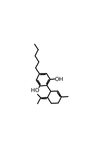 CCCCCc1cc(O)c(C2C=C(C)CCC2=C(C)C)c(O)c1